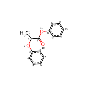 CC(Oc1ccccc1)C(=O)Oc1ccccc1